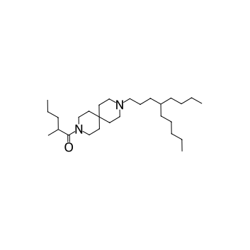 CCCCCC(CCCC)CCCN1CCC2(CC1)CCN(C(=O)C(C)CCC)CC2